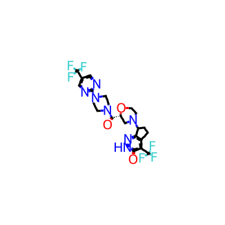 O=C([C@H]1CN(C2CCc3c2n[nH]c(=O)c3C(F)(F)F)CCO1)N1CCN(c2ncc(C(F)(F)F)cn2)CC1